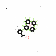 C=C(C[OH2+])c1ccccc1.Fc1c(F)c(F)c([B-](c2c(F)c(F)c(F)c(F)c2F)(c2c(F)c(F)c(F)c(F)c2F)c2c(F)c(F)c(F)c(F)c2F)c(F)c1F